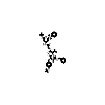 CC(C)C(NC(=O)[C@H](Cc1ccc(OC(C)(C)C)cc1)NC(=O)OCc1ccccc1)C(=O)NCC(=O)NC(/C=C/S(=O)(=O)c1ccccc1)CC(=O)OC(C)(C)C